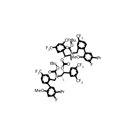 COc1cc(F)c(C(C)C)cc1-c1ccc(C(F)(F)F)cc1CN(C(=O)OC(C)(C)C)[C@@H](C)[C@H](OC(=O)O[C@H](c1cc(C(F)(F)F)cc(C(F)(F)F)c1)[C@H](C)N(Cc1cc(C(F)(F)F)ccc1-c1cc(C(C)C)c(F)cc1OC)C(=O)OC(C)(C)C)c1cc(C(F)(F)F)cc(C(F)(F)F)c1